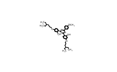 CCC(CC)CCCOc1ccc(-c2nc(-c3ccc(OC)cc3)nc(-c3ccc(OCCCC(CC)CC)cc3O)n2)c(O)c1